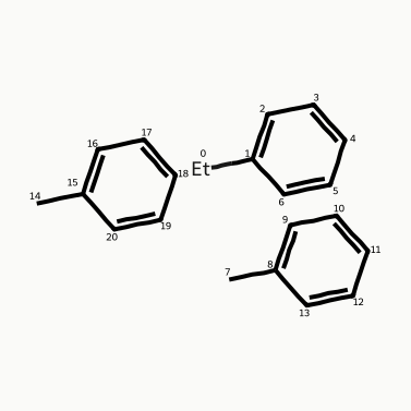 CCc1ccccc1.Cc1ccccc1.Cc1ccccc1